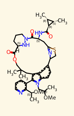 CO[C@H](C)Cn1c(-c2cccnc2[C@H](C)OC)c2c3cc(ccc31)C1CSC(=N1)C[C@H](NC(=O)[C@H]1[C@H](C)[C@@H]1C)C(=O)N1CCC[C@H](N1)C(=O)OCC(C)(C)C2